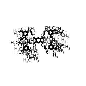 CN(CCOC(=O)C1CC(C(=O)OCCN(C)c2cc(C(C)(C)C)c(OC(=O)OC(C)(C)C)c(C(C)(C)C)c2)C(C(=O)OCCN(C)c2cc(C(C)(C)C)c(OC(=O)OC(C)(C)C)c(C(C)(C)C)c2)CC1C(=O)OCCN(C)c1cc(C(C)(C)C)c(OC(=O)OC(C)(C)C)c(C(C)(C)C)c1)c1cc(C(C)(C)C)c(OC(=O)OC(C)(C)C)c(C(C)(C)C)c1